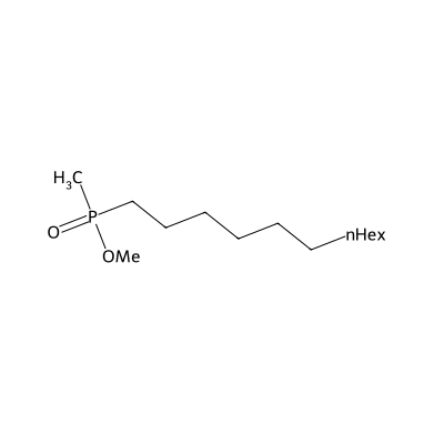 CCCCCCCCCCCCP(C)(=O)OC